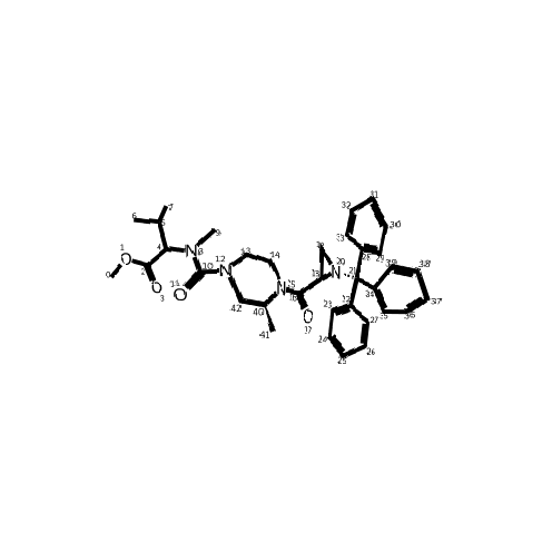 COC(=O)C(C(C)C)N(C)C(=O)N1CCN(C(=O)C2C[N@]2C(c2ccccc2)(c2ccccc2)c2ccccc2)[C@@H](C)C1